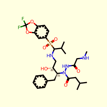 CNCC(=O)NN(C(=O)CC(C)C)[C@@H](Cc1ccccc1)[C@H](O)CNC(C(C)C)S(=O)(=O)c1ccc2c(c1)OC(F)(F)O2